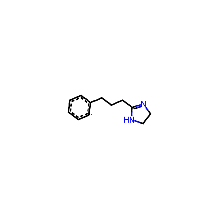 [c]1ccccc1CCCC1=NCCN1